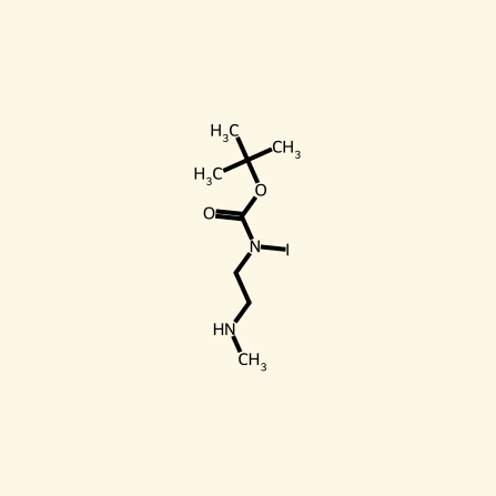 CNCCN(I)C(=O)OC(C)(C)C